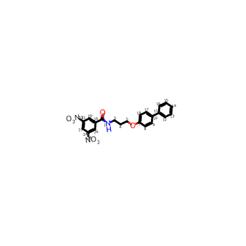 O=C(NCCCOc1ccc(-c2ccccc2)cc1)c1cc([N+](=O)[O-])cc([N+](=O)[O-])c1